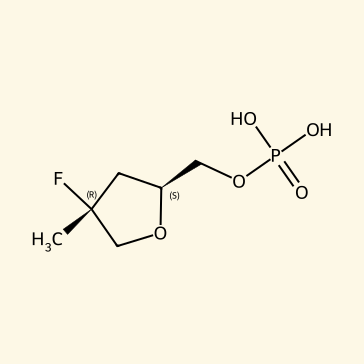 C[C@]1(F)CO[C@H](COP(=O)(O)O)C1